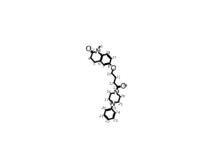 CN1C(=O)CCc2cc(OCCCC(=O)N3CCN(c4ccccc4)CC3)ccc21